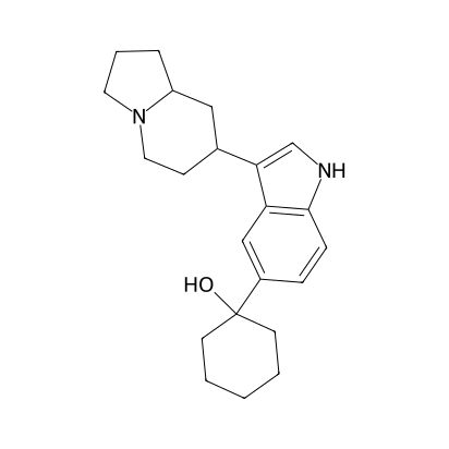 OC1(c2ccc3[nH]cc(C4CCN5CCCC5C4)c3c2)CCCCC1